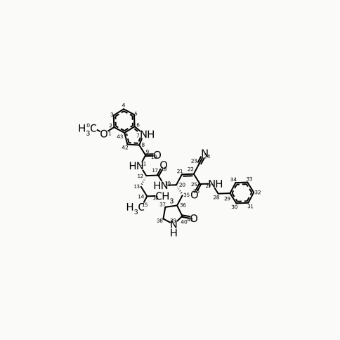 COc1cccc2[nH]c(C(=O)N[C@@H](CC(C)C)C(=O)N[C@H](/C=C(/C#N)C(=O)NCc3ccccc3)CC3CCNC3=O)cc12